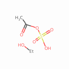 CC(=O)OS(=O)(=O)O.CCO